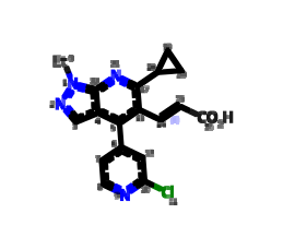 CCn1ncc2c(-c3ccnc(Cl)c3)c(/C=C/C(=O)O)c(C3CC3)nc21